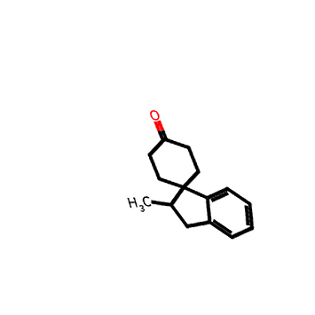 CC1Cc2ccccc2C12CCC(=O)CC2